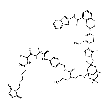 CCC1(Cn2ncc(-c3ccc(N4CCc5cccc(C(=O)Nc6nc7ccccc7s6)c5C4)nc3C(=O)O)c2C)CC2(C)CC(C)(C)CC(OCCN(CCS(=O)(=O)O)C(=O)OCc3ccc(NC(=O)[C@H](C)NC(=O)C(NC(=O)CCCCCN4C(=O)C=CC4=O)C(C)C)cc3)(C2)C1